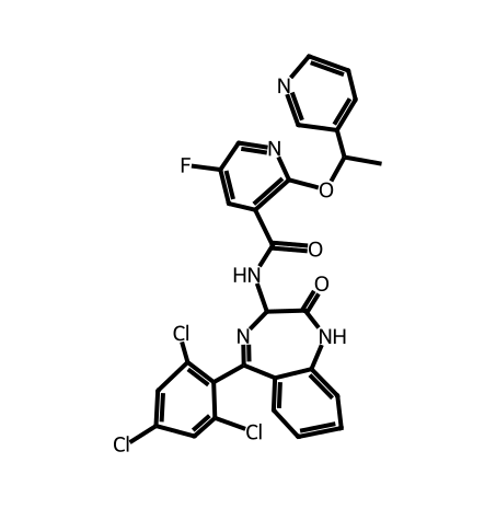 CC(Oc1ncc(F)cc1C(=O)NC1N=C(c2c(Cl)cc(Cl)cc2Cl)c2ccccc2NC1=O)c1cccnc1